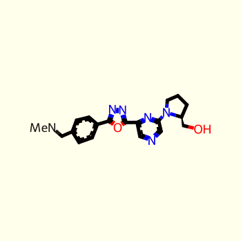 CNCc1ccc(-c2nnc(-c3cncc(N4CCC[C@H]4CO)n3)o2)cc1